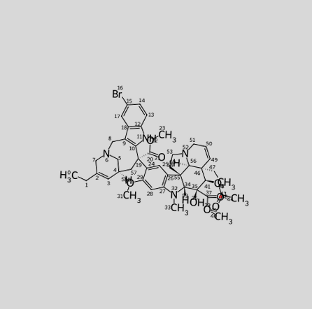 CCC1=C[C@H]2CN(C1)Cc1c([nH]c3ccc(Br)cc13)[C@@](C(=O)OC)(c1cc3c(cc1OC)N(C)[C@H]1[C@@](O)(C(=O)OC)[C@H](OC(C)=O)[C@]4(CC)C=CCN5CC[C@]31[C@@H]54)C2